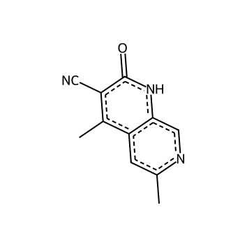 Cc1cc2c(C)c(C#N)c(=O)[nH]c2cn1